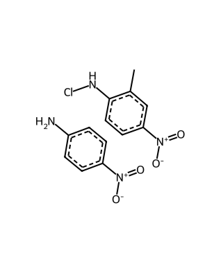 Cc1cc([N+](=O)[O-])ccc1NCl.Nc1ccc([N+](=O)[O-])cc1